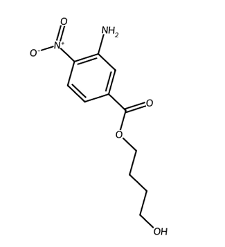 Nc1cc(C(=O)OCCCCO)ccc1[N+](=O)[O-]